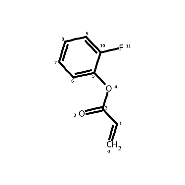 C=CC(=O)Oc1ccccc1F